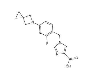 O=C(O)c1cn(Cc2ccc(N3CC4(CC4)C3)nc2F)cn1